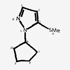 CSc1ccnn1C1CCCC1